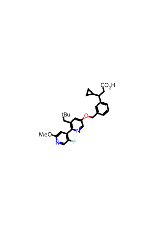 COc1cc(-c2ncc(OCc3cccc(C(CC(=O)O)C4CC4)c3)cc2CC(C)(C)C)c(F)cn1